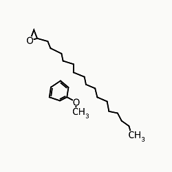 CCCCCCCCCCCCCCCCC1CO1.COc1ccccc1